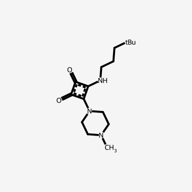 CN1CCN(c2c(NCCCC(C)(C)C)c(=O)c2=O)CC1